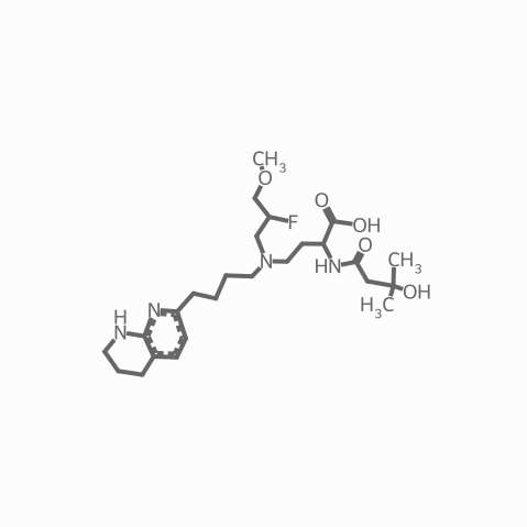 COCC(F)CN(CCCCc1ccc2c(n1)NCCC2)CCC(NC(=O)CC(C)(C)O)C(=O)O